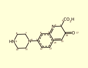 O=C(O)C1N=c2cc(N3CCNCC3)ccc2=CC1=O